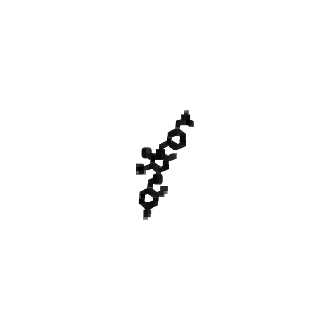 Cc1cc(OCc2ccc(F)cc2F)c(Br)c(=O)n1Cc1cccc(CN(C)C)c1